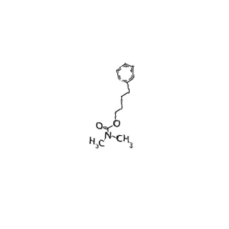 CN(C)C(=O)OCCCCc1ccccc1